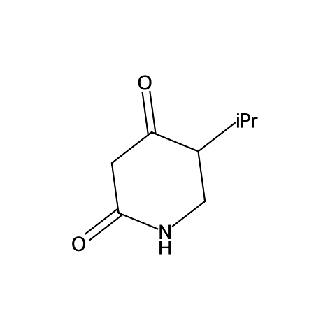 CC(C)C1CNC(=O)CC1=O